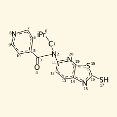 CC(C)CN(C(=O)c1ccncc1)c1ccc2nc(S)sc2n1